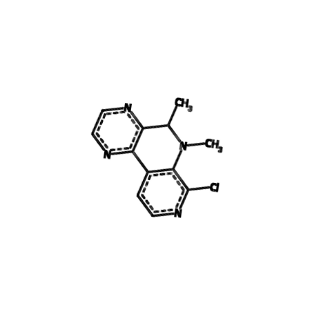 CC1c2nccnc2-c2ccnc(Cl)c2N1C